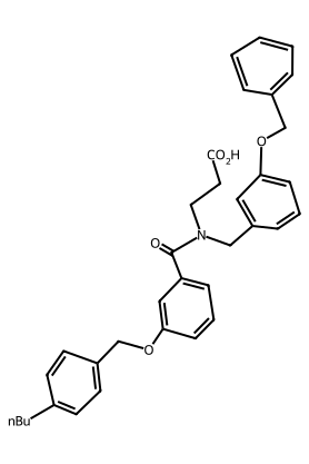 CCCCc1ccc(COc2cccc(C(=O)N(CCC(=O)O)Cc3cccc(OCc4ccccc4)c3)c2)cc1